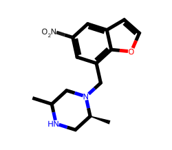 CC1CN(Cc2cc([N+](=O)[O-])cc3ccoc23)[C@@H](C)CN1